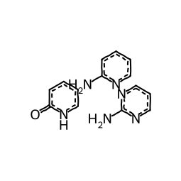 Nc1ccccn1.Nc1ncccn1.O=c1cccc[nH]1